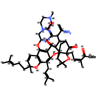 C=C(N)C(/C(N)=N\O)C1C2CC3C(C)(C)OC(C/C=C(/C)C(=O)OC)(C2=O)C32Oc3c(CC=C(C)C)c4c(c(OCCN5CCN(C)CC5)c3C(=O)C12)C=CC(C)(CCC=C(C)C)O4